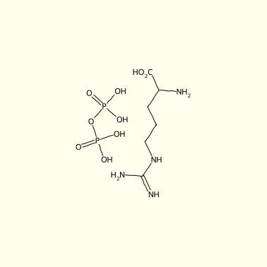 N=C(N)NCCCC(N)C(=O)O.O=P(O)(O)OP(=O)(O)O